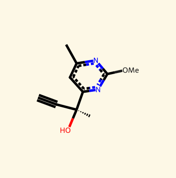 C#C[C@](C)(O)c1cc(C)nc(OC)n1